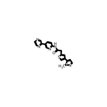 Cn1nccc1-c1csc(CC(=O)Nc2ccc(-c3cnccn3)cn2)c1